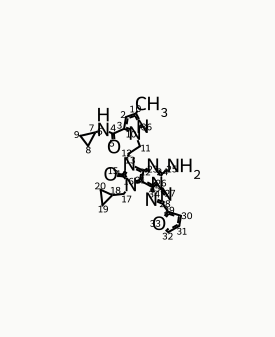 Cc1cc(C(=O)NC2CC2)n(CCn2c(=O)n(CC3CC3)c3c2nc(N)n2nc(-c4ccco4)nc32)n1